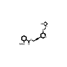 CNc1ccccc1C(=O)OCC#Cc1cncc(OC[C@@H]2CCN2)c1